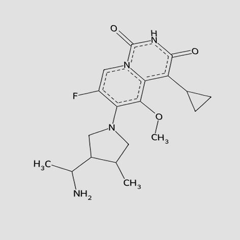 COc1c(N2CC(C)C(C(C)N)C2)c(F)cn2c(=O)[nH]c(=O)c(C3CC3)c12